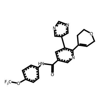 O=C(Nc1ccc(OC(F)(F)F)cc1)c1cnc(C2=CCOCC2)c(-c2cncnc2)c1